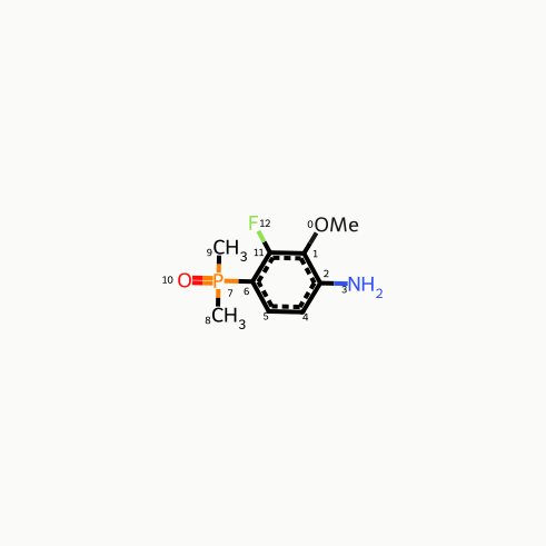 COc1c(N)ccc(P(C)(C)=O)c1F